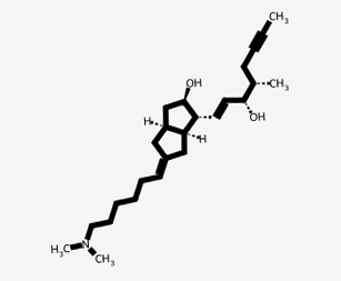 CC#CC[C@H](C)[C@H](O)/C=C/[C@@H]1[C@H]2C/C(=C/CCCCCN(C)C)C[C@H]2C[C@H]1O